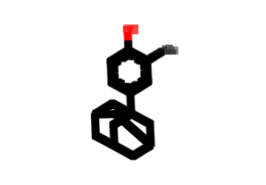 CC(C)(C)c1cc(C23CC4CC(CC(C4)C2)C3)ccc1O